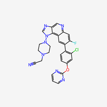 N#CCN1CCN(n2cnc3cnc4cc(F)c(-c5ccc(Oc6ncccn6)cc5Cl)cc4c32)CC1